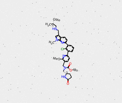 COc1nc(-c2cccc(-c3ccc4c(CNC[C@H](C)OC)cn(C)c4n3)c2Cl)ccc1CN(C[C@@H]1CCC(=O)N1)C(=O)OC(C)(C)C